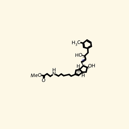 COC(=O)CCNCCCCCC1=C[C@H]2C[C@@H](O)[C@H](/C=C/[C@@H](O)Cc3cccc(C)c3)[C@H]2C1